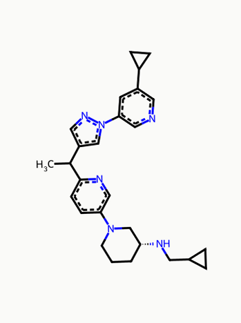 CC(c1cnn(-c2cncc(C3CC3)c2)c1)c1ccc(N2CCC[C@@H](NCC3CC3)C2)cn1